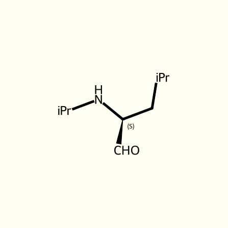 CC(C)C[C@@H](C=O)NC(C)C